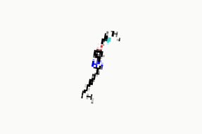 CCCCCCCCCc1cnc(-c2ccc(OCCC(F)CC)cc2)nc1